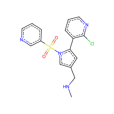 CNCc1cc(-c2cccnc2Cl)n(S(=O)(=O)c2cccnc2)c1